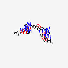 COC(=O)N[C@@H](C(=O)N1CCC[C@H]1c1ncc(-c2ccc3c(c2)COc2c-3ccc3cc(-c4cnc([C@@H]5CCCN5C(=O)[C@H](NC(=O)OC)c5ccccc5)[nH]4)ccc23)[nH]1)c1ccccc1